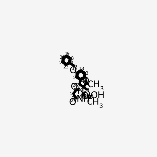 CC(=O)C(COC(C)O)(Cc1cccc(OCc2ccccc2)c1)N1C(=O)CC(=O)NC1=O